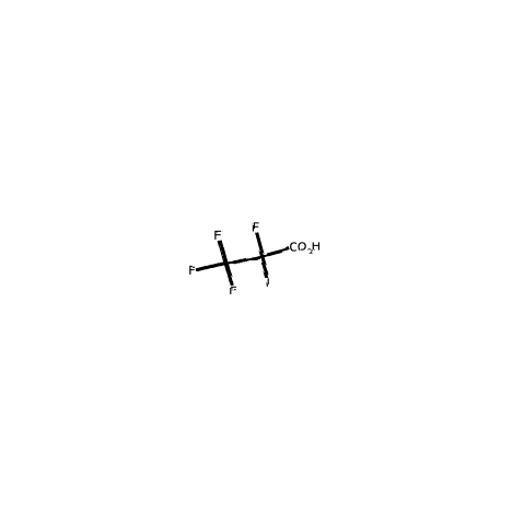 O=C(O)C(F)(I)C(F)(F)F